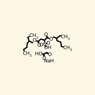 CCCCC(CC)COC(=O)CC(C(=O)OCC(CC)CCCC)S(=O)(=O)O.O=CC(=O)O.[NaH]